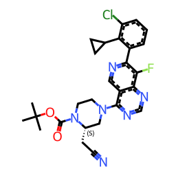 CC(C)(C)OC(=O)N1CCN(c2ncnc3c(F)c(-c4cccc(Cl)c4C4CC4)ncc23)C[C@@H]1CC#N